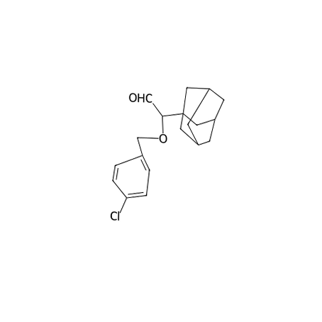 O=CC(OCc1ccc(Cl)cc1)C12CC3CC(CC(C3)C1)C2